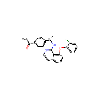 COC(=O)c1ccc([C@H](C)Nc2nccc3cccc(Oc4ccccc4F)c23)cc1